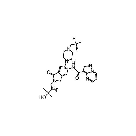 CC(F)(F)CN1CCN(c2cc3c(cc2NC(=O)c2cnn4cccnc24)CN(C[C@@H](F)C(C)(C)O)C3=O)CC1